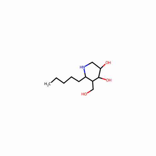 CCCCCC1NCC(O)C(O)C1CO